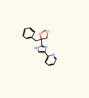 c1ccc(CC2(c3nc(-c4ccccn4)c[nH]3)COCO2)cc1